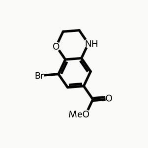 COC(=O)c1cc(Br)c2c(c1)NCCO2